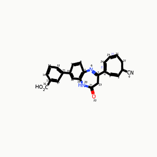 N#CC1C=C/C(C2=Nc3ccc(-c4cccc(C(=O)O)c4)cc3NC(=O)C2)=C\C=C/C1